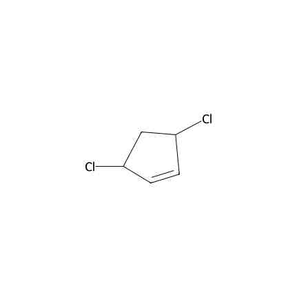 ClC1C=CC(Cl)C1